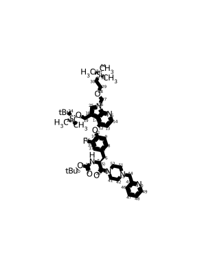 CC(C)(C)OC(=O)N[C@@H](Cc1ccc(Oc2ccnc3c2c(CO[Si](C)(C)C(C)(C)C)cn3COCC[Si](C)(C)C)c(F)c1)C(=O)N1CCN(Cc2ccccn2)CC1